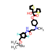 CN(CCC(=O)Nc1cc(F)c(CO[Si](C)(C)C(C)(C)C)cc1F)C1CCC(OC(=O)C(O)(c2cccs2)c2cccs2)CC1